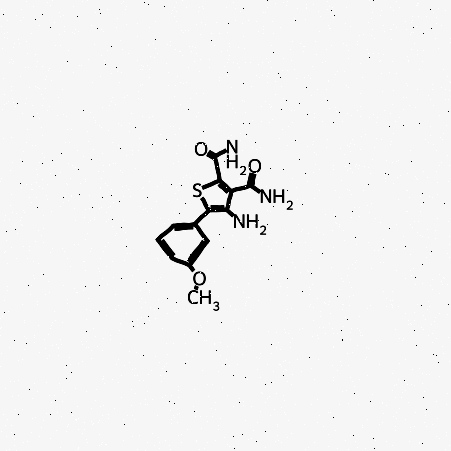 COc1cccc(-c2sc(C(N)=O)c(C(N)=O)c2N)c1